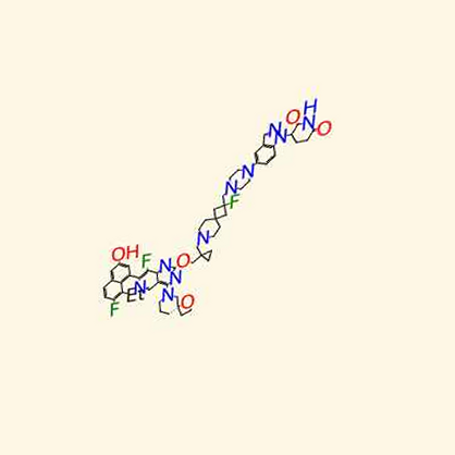 CCc1c(F)ccc2cc(O)cc(-c3ncc4c(N5CCC[C@]6(CCO6)C5)nc(OCC5(CN6CCC7(CC6)CC(F)(CN6CCN(c8ccc9c(cnn9C9CCC(=O)NC9=O)c8)CC6)C7)CC5)nc4c3F)c12